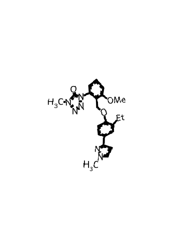 CCc1cc(-c2ccn(C)n2)ccc1OCc1c(OC)cccc1-n1nnn(C)c1=O